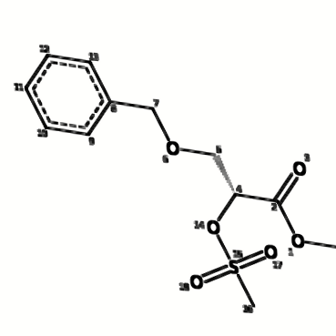 COC(=O)[C@@H](COCc1ccccc1)OS(C)(=O)=O